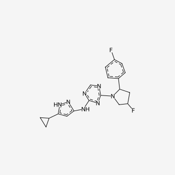 Fc1ccc(C2CC(F)CN2c2ncnc(Nc3cc(C4CC4)[nH]n3)n2)cc1